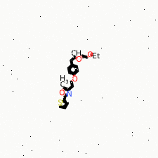 CCOCCO[C@@H](C)Cc1ccc(OCCc2nc(-c3cccs3)oc2C)cc1